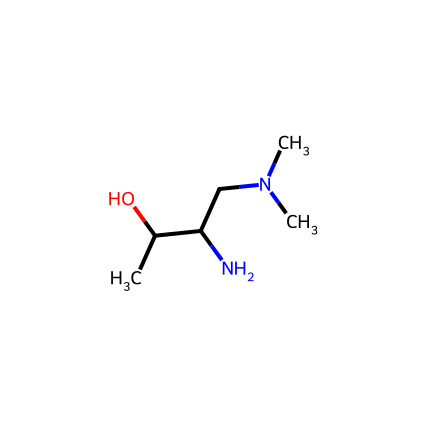 CC(O)C(N)CN(C)C